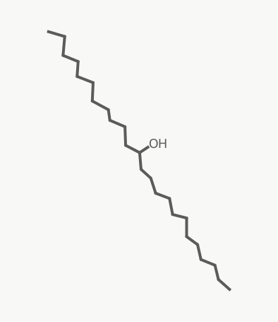 CCCCCCCCCCCCC(O)CCCCCCCCCCC